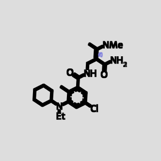 CCN(c1cc(Cl)cc(C(=O)NC/C(C(N)=O)=C(\C)NC)c1C)C1CCCCC1